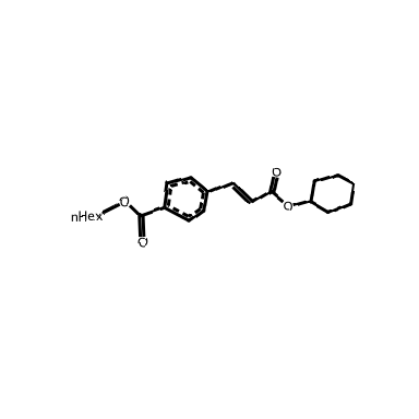 [CH2]CCCCCOC(=O)c1ccc(/C=C/C(=O)OC2CCCCC2)cc1